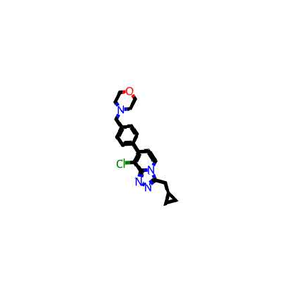 Clc1c(-c2ccc(CN3CCOCC3)cc2)ccn2c(CC3CC3)nnc12